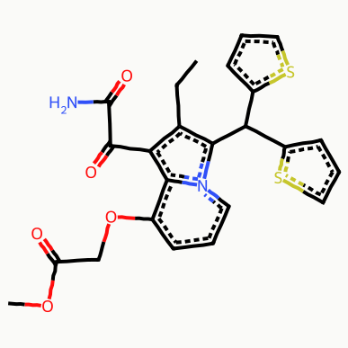 CCc1c(C(=O)C(N)=O)c2c(OCC(=O)OC)cccn2c1C(c1cccs1)c1cccs1